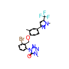 Cc1cc(-c2cc(C(F)(F)F)n(C)n2)ccc1OCc1c(Br)cccc1-n1nnn(C)c1=O